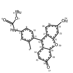 Cc1cc(NC(=O)OC(C)(C)C)ccc1-c1c2ccc(=O)cc-2oc2cc(O)ccc12